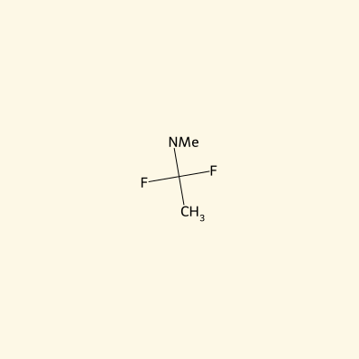 [CH2]NC(C)(F)F